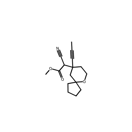 CC#CC1(C(C#N)C(=O)OC)CCOC2(CCCC2)C1